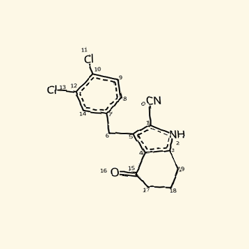 N#Cc1[nH]c2c(c1Cc1ccc(Cl)c(Cl)c1)C(=O)CCC2